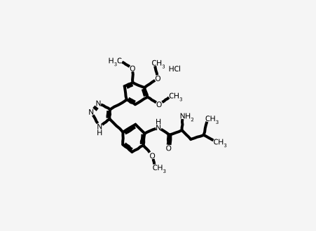 COc1ccc(-c2[nH]nnc2-c2cc(OC)c(OC)c(OC)c2)cc1NC(=O)C(N)CC(C)C.Cl